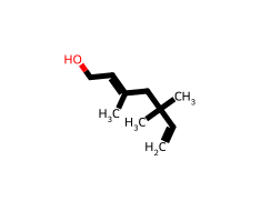 C=CC(C)(C)C/C(C)=C/CO